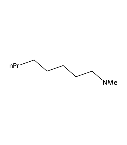 [CH2]CCCCCCCNC